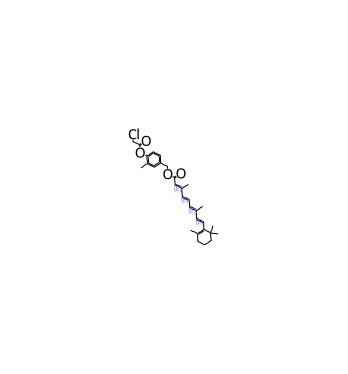 CC1=C(/C=C/C(C)=C/C=C/C(C)=C/C(=O)OCc2ccc(OC(=O)CCl)c(C)c2)C(C)(C)CCC1